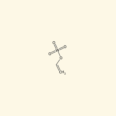 C=C[O][W](=[O])(=[O])=[O]